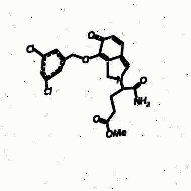 COC(=O)CCC(C(N)=O)N1C=C2C=CC(=O)C(OCc3cc(Cl)cc(Cl)c3)=C2C1